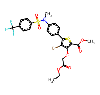 CCOC(=O)COc1c(C(=O)OC)sc(-c2ccc(N(C)S(=O)(=O)c3ccc(C(F)(F)F)cc3)cc2)c1Br